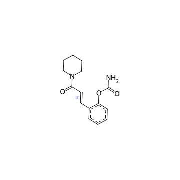 NC(=O)Oc1ccccc1/C=[C]/C(=O)N1CCCCC1